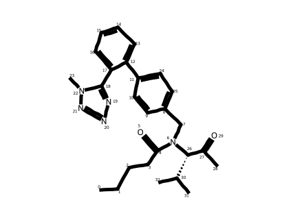 CCCCC(=O)N(Cc1ccc(-c2ccccc2-c2nnnn2C)cc1)[C@H](C(C)=O)C(C)C